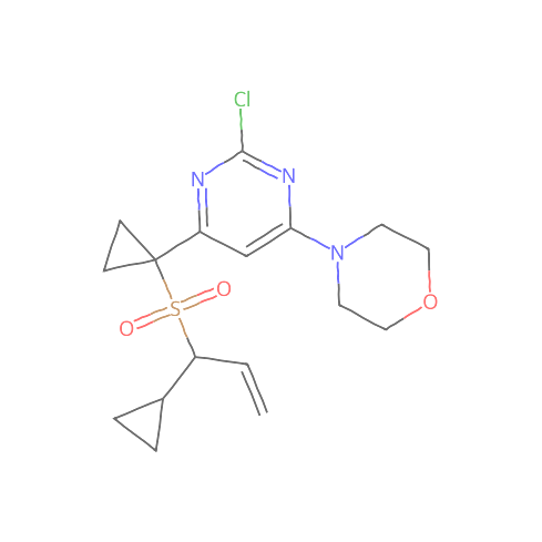 C=CC(C1CC1)S(=O)(=O)C1(c2cc(N3CCOCC3)nc(Cl)n2)CC1